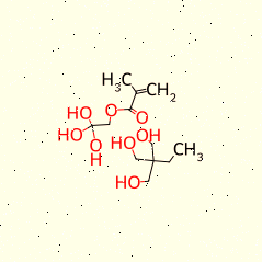 C=C(C)C(=O)OCC(O)(O)O.CCC(CO)(CO)CO